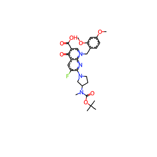 COc1ccc(Cn2cc(C(=O)O)c(=O)c3cc(F)c(N4CCC(N(C)C(=O)OC(C)(C)C)C4)nc32)c(OC)c1